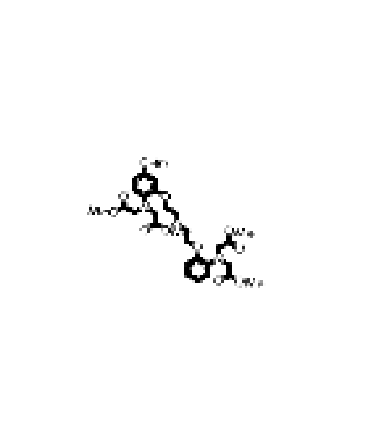 COC(=O)CN(CC(=O)OC)c1ccccc1OCCOCCOc1cc(C=O)ccc1N(CC(=O)OC)CC(=O)OC